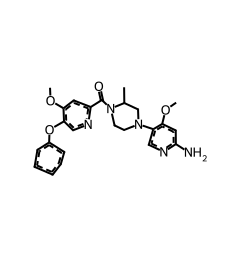 COc1cc(C(=O)N2CCN(c3cnc(N)cc3OC)CC2C)ncc1Oc1ccccc1